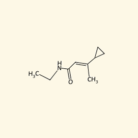 CCNC(=O)/C=C(\C)C1CC1